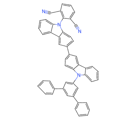 N#Cc1cccc(C#N)c1-n1c2ccccc2c2cc(-c3ccc4c(c3)c3ccccc3n4-c3cc(-c4ccccc4)cc(-c4ccccc4)c3)ccc21